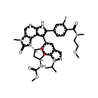 COCCN(C)C(=O)c1ccc(-c2[nH]c3ncc4c(c3c2-c2ccc3c(cnn3C(C)C)c2)n([C@@H]2CC[C@@H](NC(=O)OC)C2)c(=O)n4C)cc1F